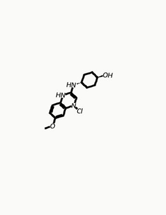 COc1ccc2c(c1)N(Cl)C=C(N[C@H]1CC[C@H](O)CC1)N2